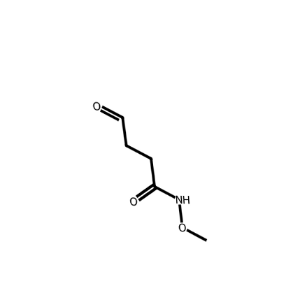 CONC(=O)CCC=O